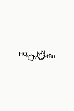 CC(C)(C)c1ccc(N2CC[C@H](O)C2)nn1